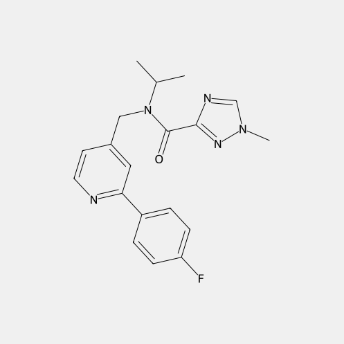 CC(C)N(Cc1ccnc(-c2ccc(F)cc2)c1)C(=O)c1ncn(C)n1